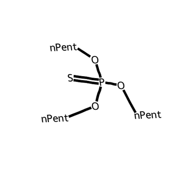 CCCCCOP(=S)(OCCCCC)OCCCCC